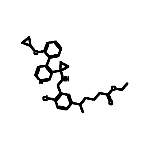 CCOC(=O)CCCC(C)c1ccc(Cl)c(CNC2(c3cnccc3-c3ccccc3OC3CC3)CC2)c1